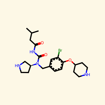 CC(C)CC(=O)NC(=O)N(Cc1ccc(OC2CCNCC2)c(Br)c1)[C@H]1CCNC1